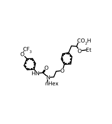 CCCCCCN(CCOc1ccc(CC(OCC)C(=O)O)cc1)C(=O)Nc1ccc(OC(F)(F)F)cc1